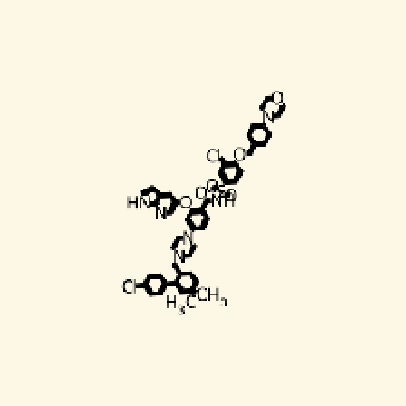 CC1(C)C=C(c2ccc(Cl)cc2)C(CN2CCN(c3ccc(C(=O)NS(=O)(=O)c4ccc(OCC5CCC(N6CCOCC6)CC5)c(Cl)c4)c(Oc4cnc5[nH]ccc5c4)c3)CC2)CC1